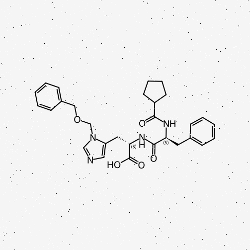 O=C(N[C@@H](Cc1ccccc1)C(=O)N[C@@H](Cc1cncn1COCc1ccccc1)C(=O)O)C1CCCC1